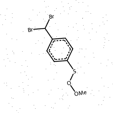 COOSc1ccc(C(Br)Br)cc1